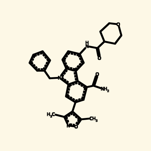 Cc1noc(C)c1-c1cc(C(N)=O)c2c3cc(NC(=O)C4CCOCC4)ccc3n(Cc3ccccc3)c2c1